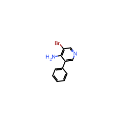 Nc1c(Br)cncc1-c1ccccc1